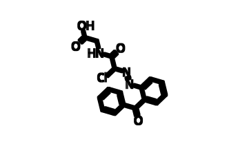 O=C(O)CNC(=O)C(Cl)/N=N/c1ccccc1C(=O)c1ccccc1